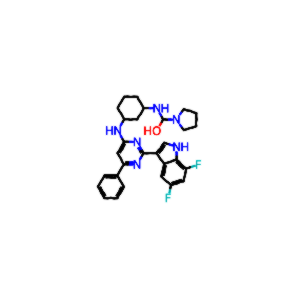 OC(NC1CCCC(Nc2cc(-c3ccccc3)nc(-c3c[nH]c4c(F)cc(F)cc34)n2)C1)N1CCCC1